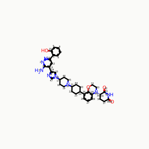 Nc1nnc(-c2ccccc2O)cc1-c1cn(C2CCN(C3CCC(c4cccc5c4OCCN5[C@H]4CCC(=O)NC4=O)CC3)CC2)cn1